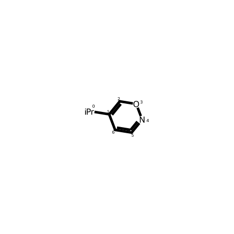 CC(C)C1=CON=C=C1